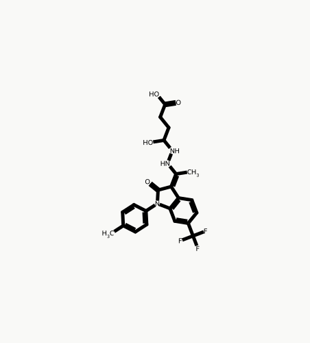 C/C(NNC(O)CCC(=O)O)=C1/C(=O)N(c2ccc(C)cc2)c2cc(C(F)(F)F)ccc21